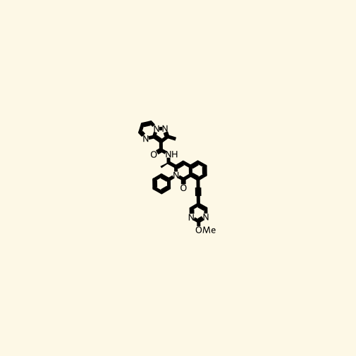 COc1ncc(C#Cc2cccc3cc([C@@H](C)NC(=O)c4c(C)nn5cccnc45)n(-c4ccccc4)c(=O)c23)cn1